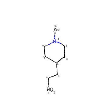 CC(=O)N1CCC(CC[N+](=O)[O-])CC1